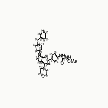 CONC(=O)Nc1ccc(-c2nc(N3CCOCC3)c3cnn(C4CCN(Cc5cccnc5)CC4)c3n2)cc1